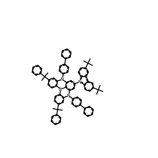 CC(C)(C)c1ccc2c(c1)c1cc(C(C)(C)C)ccc1n2-c1cc2c3c(c1)N(c1ccc(-c4ccccc4)cc1)c1cc(C(C)(C)c4ccccc4)ccc1B3c1ccc(C(C)(C)c3ccccc3)cc1N2c1ccc(-c2ccccc2)cc1